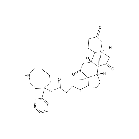 C[C@H](CCC(=O)OC1(c2ccccc2)CCCCNCC1)[C@H]1CC[C@H]2[C@@H]3C(=O)C[C@@H]4CC(=O)CC[C@]4(C)[C@H]3CC(=O)[C@]12C